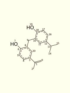 C=C(C)c1ccc(O)c(Cc2cc(C(C)C)ccc2O)c1